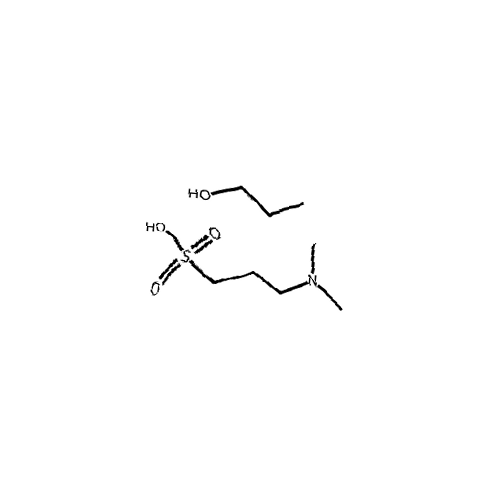 CCCO.CN(C)CCCS(=O)(=O)O